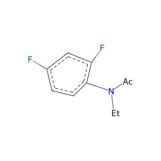 CCN(C(C)=O)c1ccc(F)cc1F